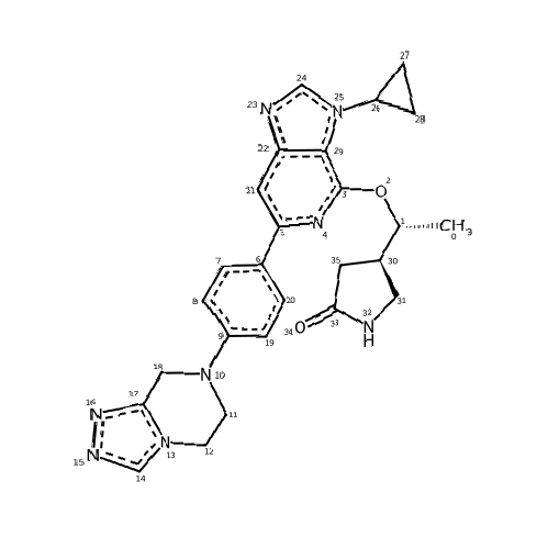 C[C@@H](Oc1nc(-c2ccc(N3CCn4cnnc4C3)cc2)cc2ncn(C3CC3)c12)[C@H]1CNC(=O)C1